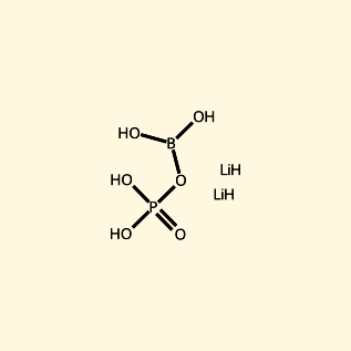 O=P(O)(O)OB(O)O.[LiH].[LiH]